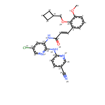 COc1cccc(/C=C/C(=O)Nc2cc(Cl)cnc2Nc2ccc(C#N)cn2)c1OCC1CCC1